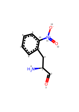 N[C@H]([C]=O)Cc1ccccc1[N+](=O)[O-]